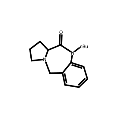 CCCCN1C(=O)C2CCCN2Cc2ccccc21